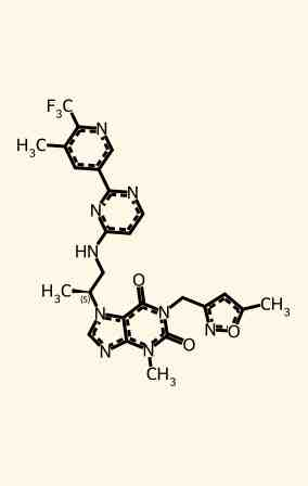 Cc1cc(Cn2c(=O)c3c(ncn3[C@@H](C)CNc3ccnc(-c4cnc(C(F)(F)F)c(C)c4)n3)n(C)c2=O)no1